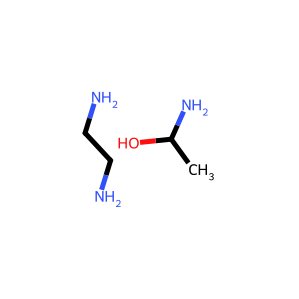 CC(N)O.NCCN